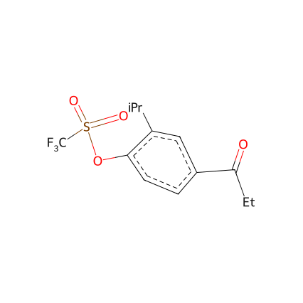 CCC(=O)c1ccc(OS(=O)(=O)C(F)(F)F)c(C(C)C)c1